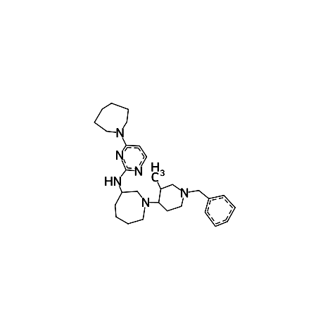 CC1CN(Cc2ccccc2)CCC1N1CCCCC(Nc2nccc(N3CCCCCC3)n2)C1